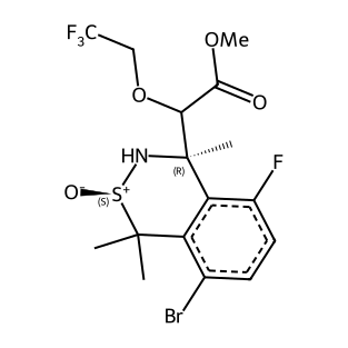 COC(=O)C(OCC(F)(F)F)[C@]1(C)N[S@+]([O-])C(C)(C)c2c(Br)ccc(F)c21